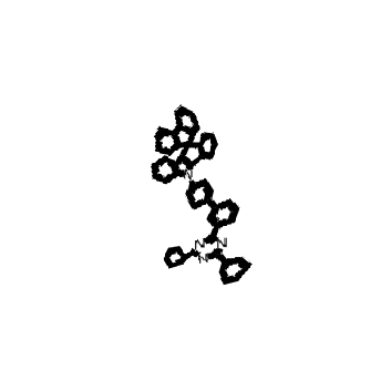 c1ccc(-c2nc(-c3ccccc3)nc(-c3cccc(-c4ccc(-n5c6c(c7ccccc75)C5(c7ccccc7-c7ccccc75)c5ccccc5-6)cc4)c3)n2)cc1